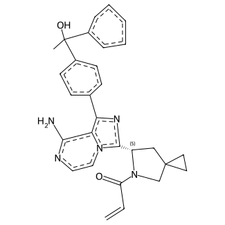 C=CC(=O)N1CC2(CC2)C[C@H]1c1nc(-c2ccc(C(C)(O)c3ccccc3)cc2)c2c(N)nccn12